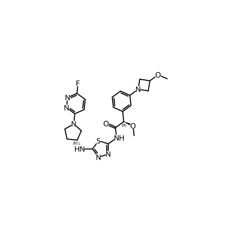 COC1CN(c2cccc([C@@H](OC)C(=O)Nc3nnc(N[C@@H]4CCN(c5ccc(F)nn5)C4)s3)c2)C1